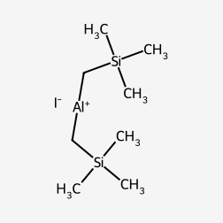 C[Si](C)(C)[CH2][Al+][CH2][Si](C)(C)C.[I-]